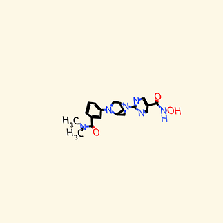 CN(C)C(=O)c1cccc(N2CC3CC2CN3c2ncc(C(=O)NO)cn2)c1